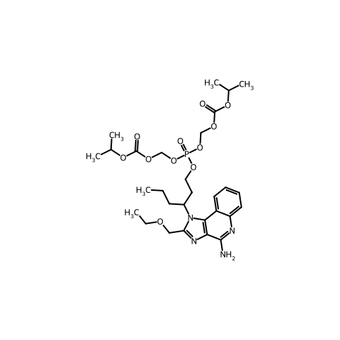 CCCC(CCOP(=O)(OCOC(=O)OC(C)C)OCOC(=O)OC(C)C)n1c(COCC)nc2c(N)nc3ccccc3c21